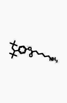 CC(C)(C)CC(c1ccc(OC(=O)CCCCCN)cc1)C(C)(C)C